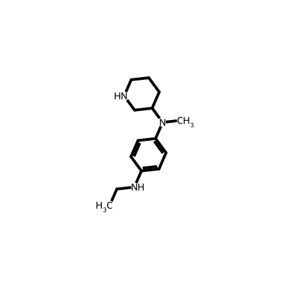 CCNc1ccc(N(C)C2CCCNC2)cc1